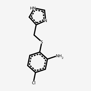 Nc1cc(Cl)ccc1SCc1c[nH]cn1